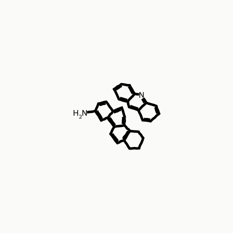 Nc1ccc2ccc3c4c(ccc3c2c1)CCCC4.c1ccc2nc3ccccc3cc2c1